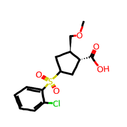 COC[C@@H]1CC(S(=O)(=O)c2ccccc2Cl)C[C@H]1C(=O)O